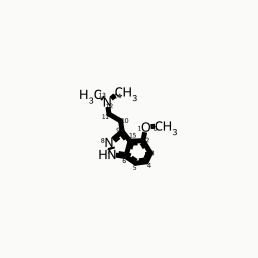 COc1cccc2[nH]nc(CCN(C)C)c12